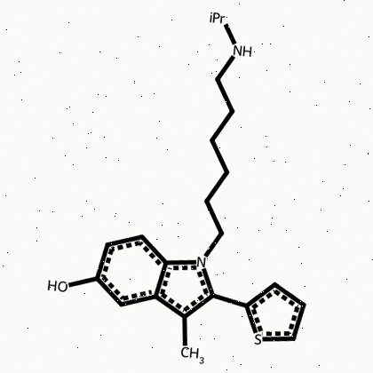 Cc1c(-c2cccs2)n(CCCCCCNC(C)C)c2ccc(O)cc12